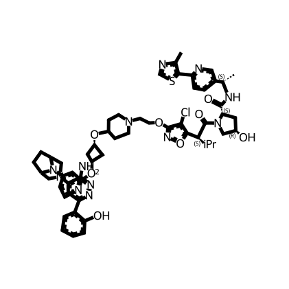 Cc1ncsc1-c1ccc([C@H](C)NC(=O)[C@@H]2C[C@@H](O)CN2C(=O)[C@H](c2onc(OCCN3CCC(O[C@H]4C[C@H](Oc5cc(N6C7CCC6CN(c6cc(-c8ccccc8O)nnc6N)C7)ccn5)C4)CC3)c2Cl)C(C)C)cn1